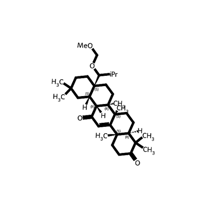 COCOC(C(C)C)[C@]12CCC(C)(C)C[C@H]1[C@H]1C(=O)C=C3[C@@]4(C)CCC(=O)C(C)(C)[C@@H]4CC[C@@]3(C)[C@]1(C)CC2